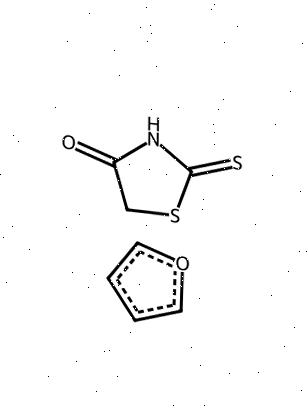 O=C1CSC(=S)N1.c1ccoc1